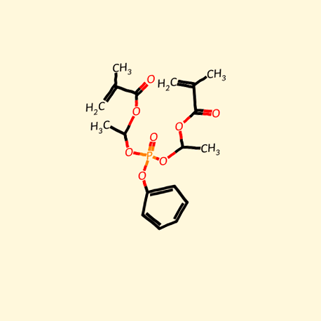 C=C(C)C(=O)OC(C)OP(=O)(Oc1ccccc1)OC(C)OC(=O)C(=C)C